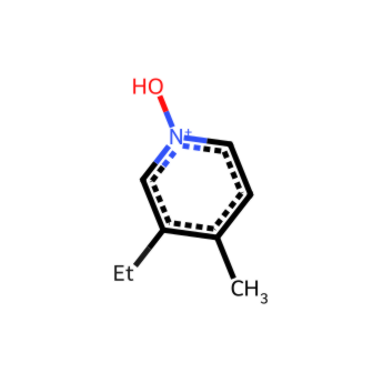 CCc1c[n+](O)ccc1C